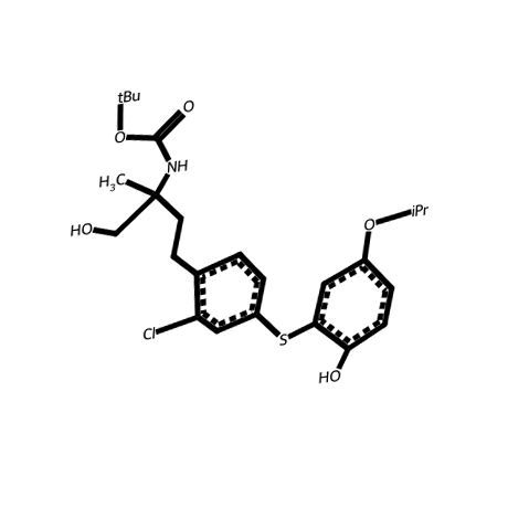 CC(C)Oc1ccc(O)c(Sc2ccc(CCC(C)(CO)NC(=O)OC(C)(C)C)c(Cl)c2)c1